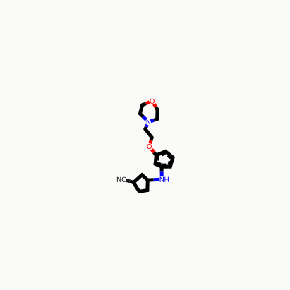 N#CC1CCC(Nc2cccc(OCCN3CCOCC3)c2)C1